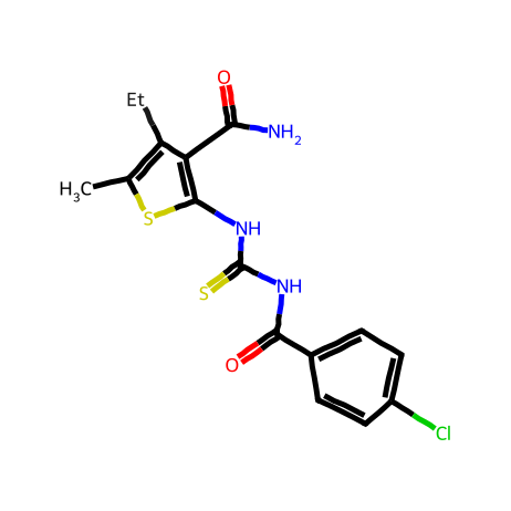 CCc1c(C)sc(NC(=S)NC(=O)c2ccc(Cl)cc2)c1C(N)=O